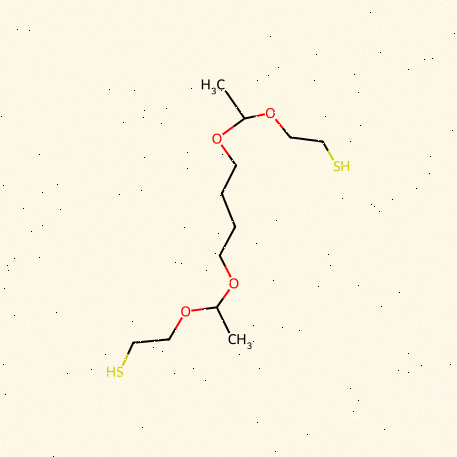 CC(OCCS)OCCCCOC(C)OCCS